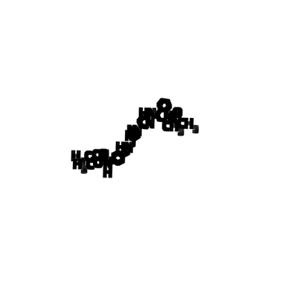 CCC(=O)N1c2ccccc2[C@H](Nc2ccc(-n3cc(CNCc4ccc(NC(=O)OC(C)(C)C)cc4)nn3)cn2)C[C@@H]1C